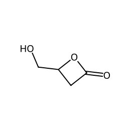 O=C1CC(CO)O1